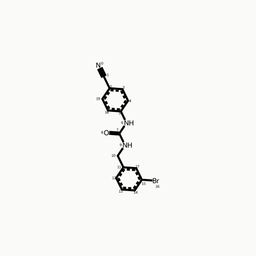 N#Cc1ccc(NC(=O)NCc2cccc(Br)c2)cc1